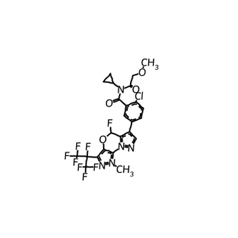 COCC(=O)N(C(=O)c1cc(-c2cnn3c2C(F)Oc2c(C(F)(C(F)(F)F)C(F)(F)F)nn(C)c2-3)ccc1Cl)C1CC1